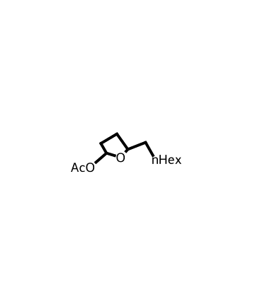 CCCCCCCC1CCC(OC(C)=O)O1